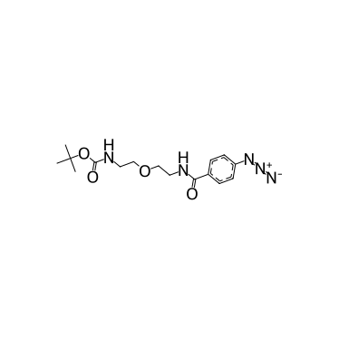 CC(C)(C)OC(=O)NCCOCCNC(=O)c1ccc(N=[N+]=[N-])cc1